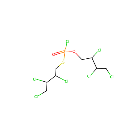 O=P(Cl)(OCC(Cl)C(Cl)CCl)SCC(Cl)C(Cl)CCl